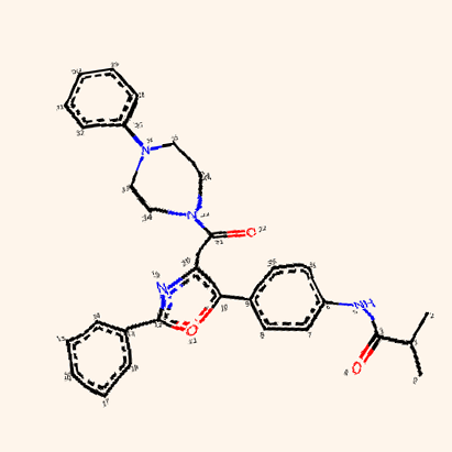 CC(C)C(=O)Nc1ccc(-c2oc(-c3ccccc3)nc2C(=O)N2CCN(c3ccccc3)CC2)cc1